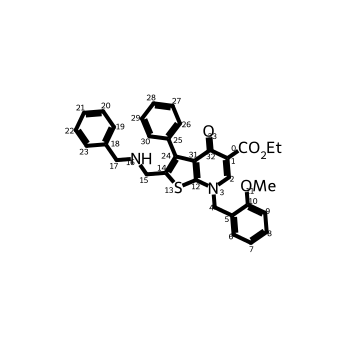 CCOC(=O)c1cn(Cc2ccccc2OC)c2sc(CNCc3ccccc3)c(-c3ccccc3)c2c1=O